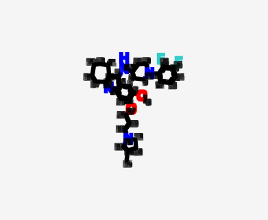 COc1cc2c(NC3CCN(c4cccc(F)c4F)CC3)c3c(nc2cc1OCCCN1CCC(C)C1)CCCCC3